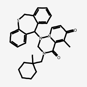 Cc1c2n(ccc1=O)N(C1c3ccccc3CSc3ccccc31)CN(CC1(C)CCCCC1)C2=O